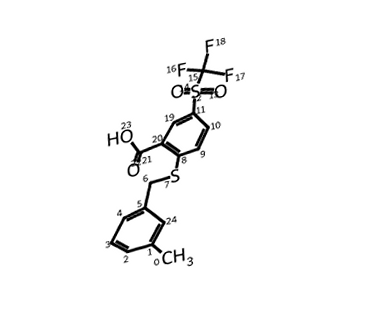 Cc1cccc(CSc2ccc(S(=O)(=O)C(F)(F)F)cc2C(=O)O)c1